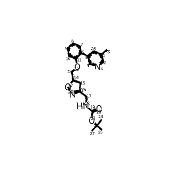 Cc1cncc(-c2ccccc2OCC2CC(CNC(=O)OC(C)(C)C)=NO2)c1